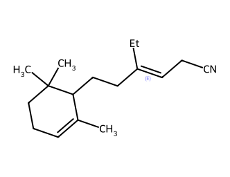 CC/C(=C\CC#N)CCC1C(C)=CCCC1(C)C